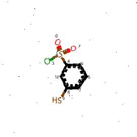 O=S(=O)(Cl)c1cccc(S)c1